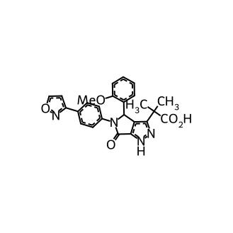 COc1ccccc1C1c2c(C(C)(C)C(=O)O)n[nH]c2C(=O)N1c1ccc(-c2ccon2)cc1